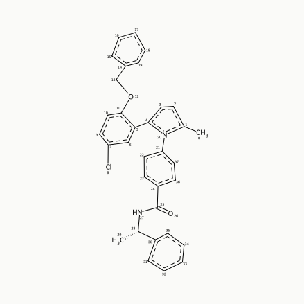 Cc1ccc(-c2cc(Cl)ccc2OCc2ccccc2)n1-c1ccc(C(=O)N[C@@H](C)c2ccccc2)cc1